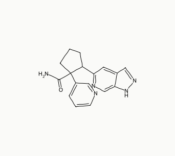 NC(=O)C1(c2cccnc2)CCCC1c1cc2cn[nH]c2cn1